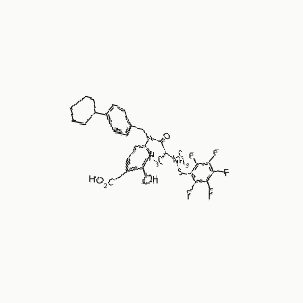 CC(C(=O)N(Cc1ccc(C2CCCCC2)cc1)c1ccc(C(=O)O)c(O)c1)N(C)Sc1c(F)c(F)c(F)c(F)c1F